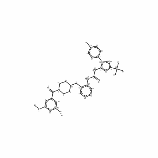 COc1cc(C(=O)N2CCC(Cc3ccccc3NC(=O)Nc3cc(C(C)(C)C)nn3-c3ccc(C)cc3)CC2)cc(Cl)n1